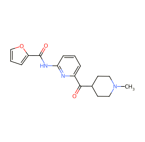 CN1CCC(C(=O)c2cccc(NC(=O)c3ccco3)n2)CC1